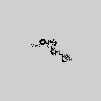 C=C(/N=c1/sccn1Cc1ccnc(NCCN2CCCNS2(=O)=O)n1)c1cccc(OC)c1